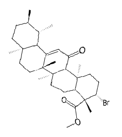 COC(=O)[C@]1(C)C2CC[C@]3(C)C(C(=O)C=C4C5[C@@H](C)[C@H](C)CC[C@]5(C)CC[C@]43C)[C@@]2(C)CC[C@@H]1Br